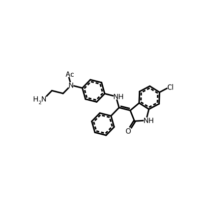 CC(=O)N(CCN)c1ccc(NC(=C2C(=O)Nc3cc(Cl)ccc32)c2ccccc2)cc1